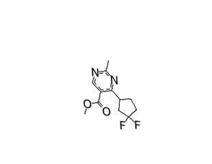 COC(=O)c1cnc(C)nc1C1CCC(F)(F)C1